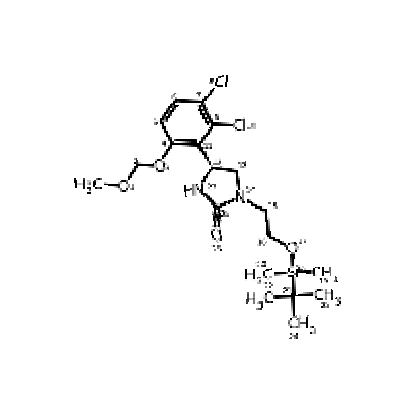 COCOc1ccc(Cl)c(Cl)c1[C@H]1CN(CCO[Si](C)(C)C(C)(C)C)C(=O)N1